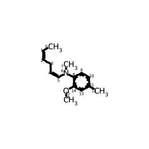 C/C=C\C/C=C\N(C)c1ccc(C)cc1OC